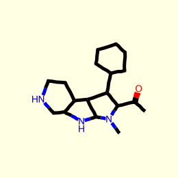 CC(=O)C1C(C2CCCCC2)C2C3CCNCC3NC2N1C